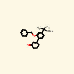 CCCCCCC(C)(C)c1ccc(C2=CC(=O)CCC2)c(OCc2ccccc2)c1